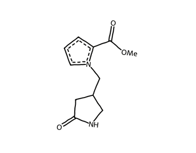 COC(=O)c1cccn1CC1CNC(=O)C1